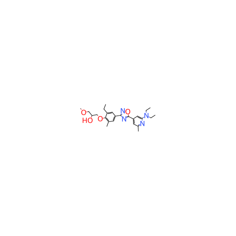 CCc1cc(-c2noc(-c3cc(C)nc(N(CC)CC)c3)n2)cc(C)c1OCC(O)COC